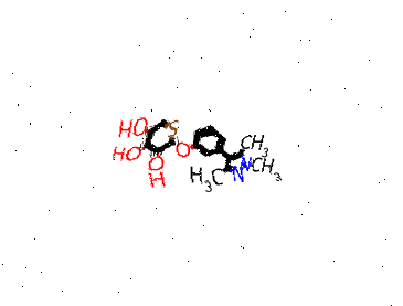 Cc1nn(C)c(C)c1-c1cccc(O[C@H]2SC[C@@H](O)[C@H](O)[C@H]2O)c1